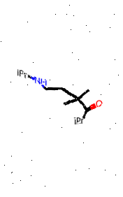 CC(C)NCCC(C)(C)C(=O)C(C)C